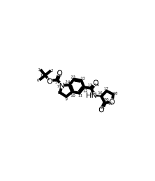 CC(C)(C)OC(=O)N1CCc2cc(C(=O)N[C@H]3CCOC3=O)ccc21